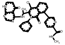 CNC(=O)c1ccc(-c2cccc3c(Cl)c(C(C)Nc4ncnc5[nH]ccc(=O)c45)n(-c4ccccc4)c(=O)c23)cn1